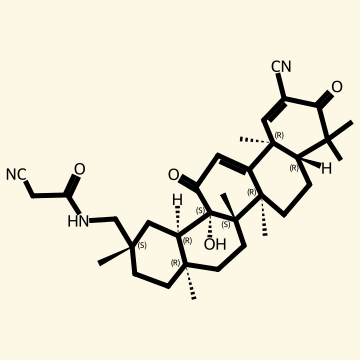 CC1(C)C(=O)C(C#N)=C[C@]2(C)C3=CC(=O)[C@]4(O)[C@@H]5C[C@@](C)(CNC(=O)CC#N)CC[C@]5(C)CC[C@@]4(C)[C@]3(C)CC[C@@H]12